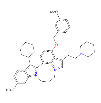 COc1cccc(COc2ccc3c4c2c(CCN2CCCCC2)cn4CCCn2c-3c(C3CCCCC3)c3ccc(C(=O)O)cc32)c1